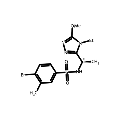 CCn1c(OC)nnc1[C@@H](C)NS(=O)(=O)c1ccc(Br)c(C)c1